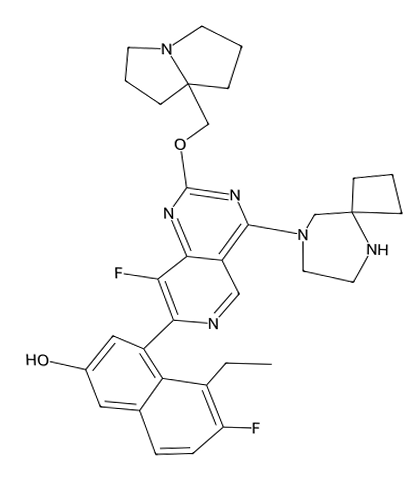 CCc1c(F)ccc2cc(O)cc(-c3ncc4c(N5CCNC6(CCC6)C5)nc(OCC56CCCN5CCC6)nc4c3F)c12